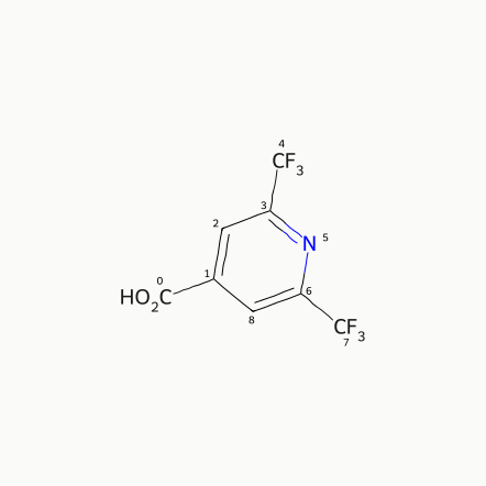 O=C(O)c1cc(C(F)(F)F)nc(C(F)(F)F)c1